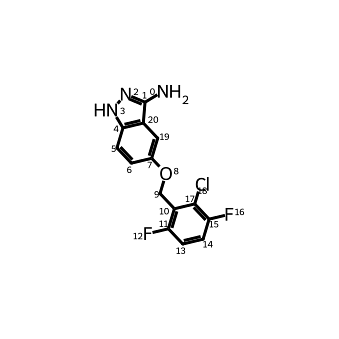 Nc1n[nH]c2ccc(OCc3c(F)ccc(F)c3Cl)cc12